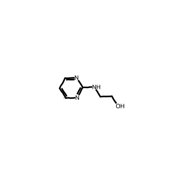 OCCNc1n[c]ccn1